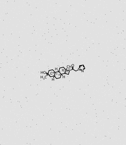 C[C@@]1(O)CC[C@@]2(C)[C@H](CC[C@@H]3[C@@H]2CC[C@]2(C)[C@@H](C(=O)Cn4cccn4)C[C@@H]32)C1